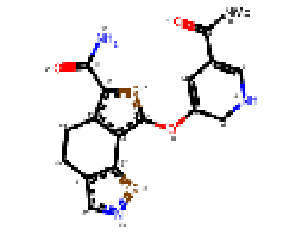 CNC(=O)C1=CNCC(Oc2sc(C(N)=O)c3c2-c2sncc2CC3)=C1